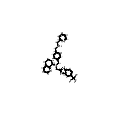 FC(F)(F)c1ccc2sc(CN(Cc3ccc(CNCc4ccccn4)cc3)C3CCCc4cccnc43)nc2c1